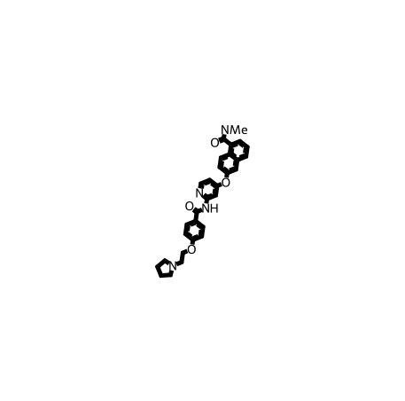 CNC(=O)c1cccc2cc(Oc3ccnc(NC(=O)c4ccc(OCCN5CCCC5)cc4)c3)ccc12